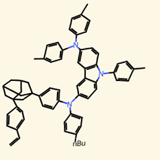 C=Cc1ccc(C23CC4CC(C2)CC(c2ccc(N(c5ccc(CCCC)cc5)c5ccc6c(c5)c5cc(N(c7ccc(C)cc7)c7ccc(C)cc7)ccc5n6-c5ccc(C)cc5)cc2)(C4)C3)cc1